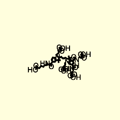 CC1(C)C(/C=C/C=C2/N(CCCS(=O)(=O)O)c3ccc(C(=O)NCCCCCC(=O)O)cc3C2(C)C)=[N+](CCCS(=O)(=O)O)c2cc(C(=O)NCCS(=O)(=O)O)cc(C(=O)NCCS(=O)(=O)O)c21